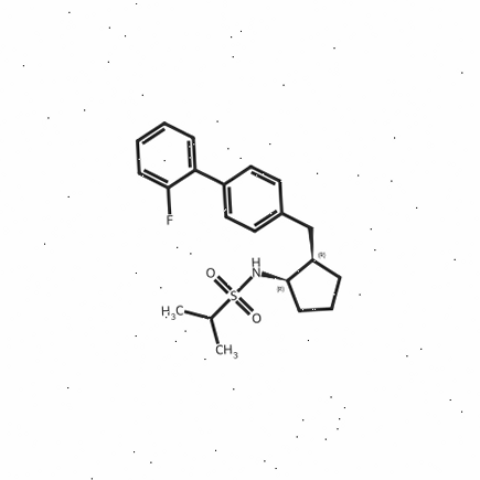 CC(C)S(=O)(=O)N[C@@H]1CCC[C@@H]1Cc1ccc(-c2ccccc2F)cc1